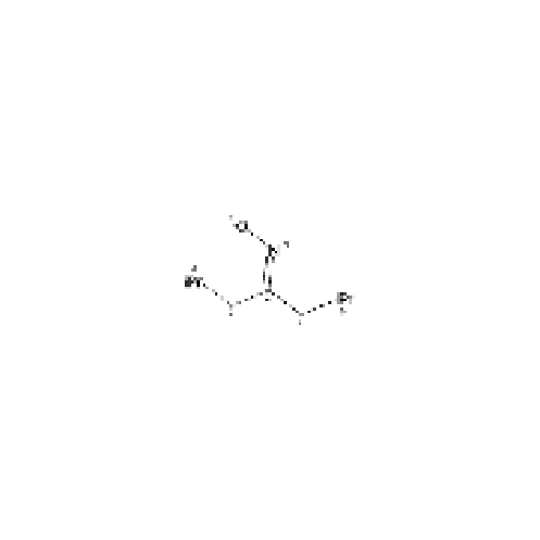 CC(C)CC(CC(C)C)=N[O]